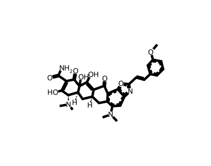 COc1cccc(/C=C/c2nc3cc(N(C)C)c4c(c3o2)C(=O)C2=C(O)C3(O)C(=O)C(C(N)=O)=C(O)[C@@H](N(C)C)[C@@H]3C[C@@H]2C4)c1